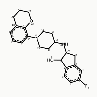 OC1c2ccc(F)cc2CC1NC1CCN(c2cccc3c2OCCC3)CC1